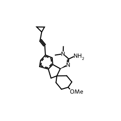 COC1CCC2(CC1)Cc1ccc(C#CC3CC3)cc1[C@H]2/N=C(/N)N(C)C